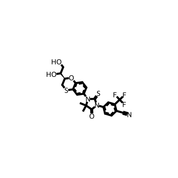 CC1(C)C(=O)N(c2ccc(C#N)c(C(F)(F)F)c2)C(=S)N1c1ccc2c(c1)SC[C@@H](C(O)CO)O2